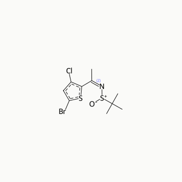 C/C(=N/[S+]([O-])C(C)(C)C)c1sc(Br)cc1Cl